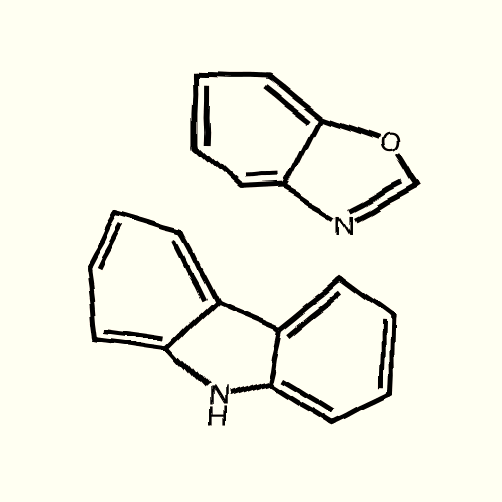 c1ccc2c(c1)[nH]c1ccccc12.c1ccc2ocnc2c1